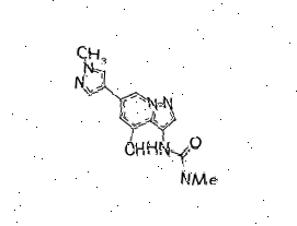 CNC(=O)Nc1cnn2cc(-c3cnn(C)c3)cc(O)c12